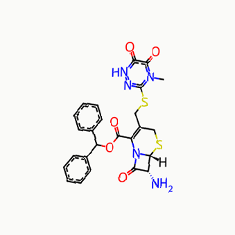 Cn1c(SCC2=C(C(=O)OC(c3ccccc3)c3ccccc3)N3C(=O)[C@@H](N)[C@H]3SC2)n[nH]c(=O)c1=O